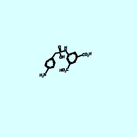 Nc1ccc(CP(=O)(O)Nc2cc(C(=O)O)cc(C(=O)O)c2)cc1